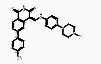 CN1CCN(c2ccc(N/C=C3\C(=O)NC(=O)c4ccc(-c5ccc(N)cc5)cc43)cc2)CC1